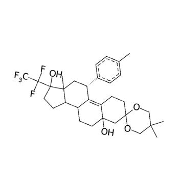 Cc1ccc([C@H]2CC3(C)C(CCC3(O)C(F)(F)C(F)(F)F)C3CCC4(O)CC5(CCC4=C32)OCC(C)(C)CO5)cc1